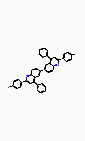 Cc1ccc(-c2cc(-c3ccccc3)c3cc(-c4ccc5nc(-c6ccc(C)cc6)cc(-c6ccccc6)c5c4)ccc3n2)cc1